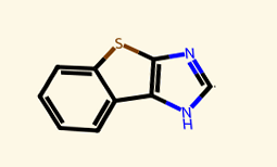 [c]1nc2sc3ccccc3c2[nH]1